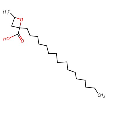 CCCCCCCCCCCCCCCCC1(C(=O)O)CC(C)O1